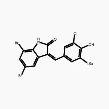 CC(C)(C)c1cc(C=C2C(=O)Nc3c(Br)cc(Br)cc32)cc(Cl)c1O